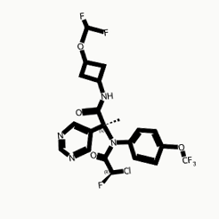 C[C@@](C(=O)NC1CC(OC(F)F)C1)(c1cncnc1)N(C(=O)[C@H](F)Cl)c1ccc(OC(F)(F)F)cc1